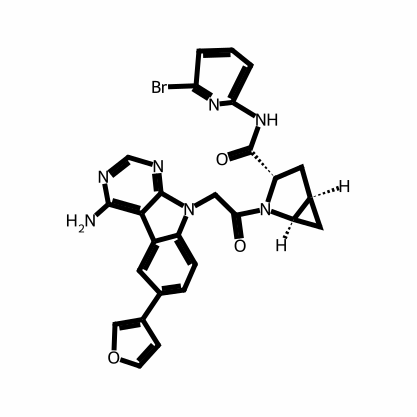 Nc1ncnc2c1c1cc(-c3ccoc3)ccc1n2CC(=O)N1[C@@H]2C[C@@H]2C[C@H]1C(=O)Nc1cccc(Br)n1